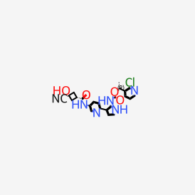 C[C@@H](OC(=O)Nc1[nH]ccc1-c1ccc(NC(=O)[C@H]2C[C@](O)(C#N)C2)cn1)c1cccnc1Cl